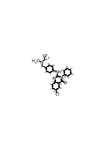 CN(Cc1ccc(Nc2nc3ccc(Cl)cc3c(=O)n2-c2ccccc2)cc1)CC(F)(F)F